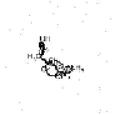 C/C(=C\C=C\[C@@H](C)COC(=O)N1CC[C@@H](O)C1)[C@H]1OC(=O)CCCC[C@@](C)(O)[C@@H](OC(=O)N2CCN(C)CC2)/C=C/[C@@H]1C